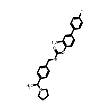 CC(c1ccc(CNC(=O)Oc2ccc(-c3ccc(Cl)cc3)cc2N)cc1)N1CCCC1